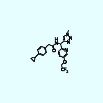 Cn1cc([C@H](NC(=O)Cc2ccc(C3CC3)cc2)c2ccc(OCC(F)(F)F)cn2)nn1